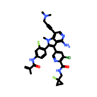 C=C(C)C(=O)Nc1ccc(-c2c(-c3cnc(C(=O)NCC4(F)CC4)c(Cl)c3)c3c(N)ncc(C#CCN(C)C)c3n2C)c(F)c1